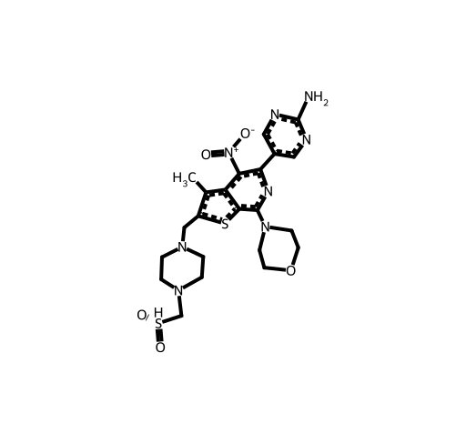 Cc1c(CN2CCN(C[SH](=O)=O)CC2)sc2c(N3CCOCC3)nc(-c3cnc(N)nc3)c([N+](=O)[O-])c12